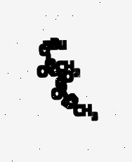 C=C(CC(=O)OCCOCCCC)C(=O)OCC(=O)c1ccc(C)cc1